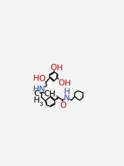 CC(C)(Cc1cccc(CC(=O)NCC2CCCCC2)c1)NC[C@H](O)c1cc(O)cc(O)c1